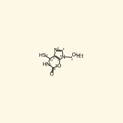 CCOCn1cnc2c1OC(=O)NC2S